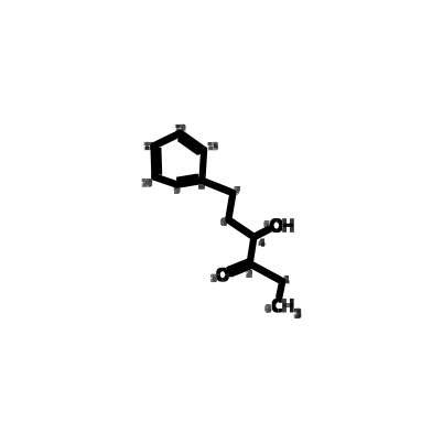 CCC(=O)C(O)CCc1ccccc1